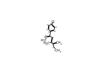 C=C(CC)/C(C)=C/C(=N\C)c1ccc(Cl)cc1